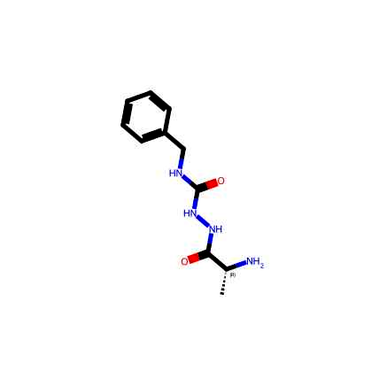 C[C@@H](N)C(=O)NNC(=O)NCc1ccccc1